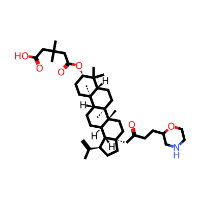 C=C(C)[C@@H]1CC[C@]2(CC(=O)CCC3CNCCO3)CC[C@]3(C)[C@H](CC[C@@H]4[C@@]5(C)CC[C@H](OC(=O)CC(C)(C)CC(=O)O)C(C)(C)[C@@H]5CC[C@]43C)[C@@H]12